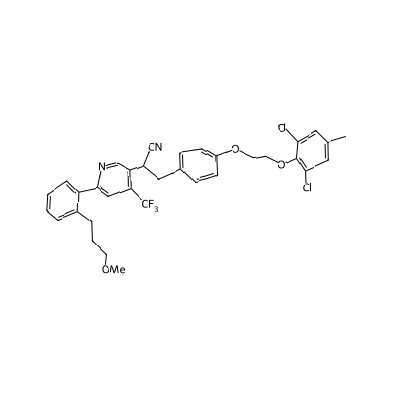 COCCCc1ccccc1-c1cc(C(F)(F)F)c(C(C#N)Cc2ccc(OCCOc3c(Cl)cc(C)cc3Cl)cc2)cn1